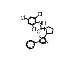 O=C(Nc1c(Cl)cc(Cl)cc1Cl)N1CCCC1c1ncc(-c2ccccc2)s1